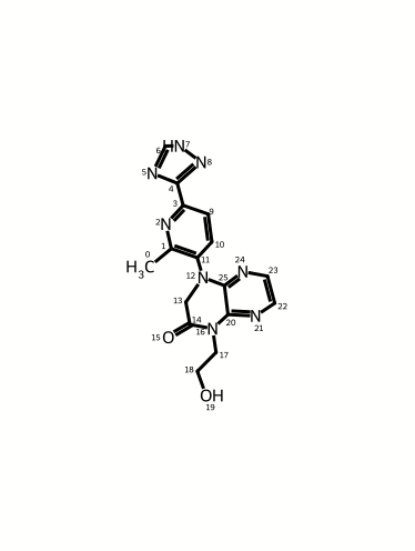 Cc1nc(-c2nc[nH]n2)ccc1N1CC(=O)N(CCO)c2nccnc21